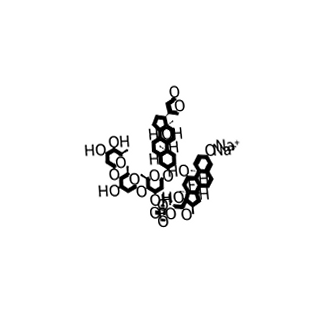 C[C@@H]1C[C@H]2[C@@H]3CCC4=CC(=O)C=C[C@]4(C)[C@@]3(F)[C@@H](O)C[C@]2(C)[C@@]1(O)C(=O)COP(=O)([O-])[O-].C[C@H]1O[C@@H](O[C@H]2[C@@H](O)C[C@H](O[C@H]3[C@@H](O)C[C@H](O[C@H]4CC[C@@]5(C)[C@H](CC[C@@H]6[C@@H]5CC[C@]5(C)[C@@H](C7=CC(=O)OC7)CC[C@]65O)C4)O[C@@H]3C)O[C@@H]2C)C[C@H](O)[C@@H]1O.[Na+].[Na+]